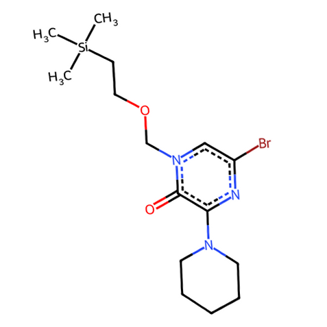 C[Si](C)(C)CCOCn1cc(Br)nc(N2CCCCC2)c1=O